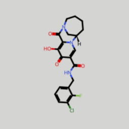 O=C(NCc1cccc(Cl)c1F)c1cn2c(c(O)c1=O)C(=O)N1CCCC[C@H]2C1